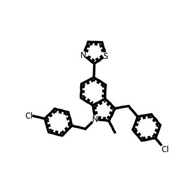 Cc1c(Cc2ccc(Cl)cc2)c2cc(-c3nccs3)ccc2n1Cc1ccc(Cl)cc1